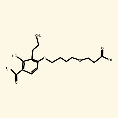 CCCc1c(OCCCCSCCC(=O)O)ccc(C(C)=O)c1O